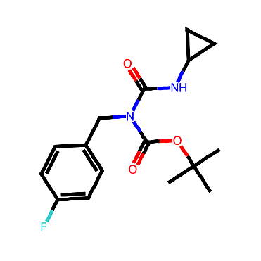 CC(C)(C)OC(=O)N(Cc1ccc(F)cc1)C(=O)NC1CC1